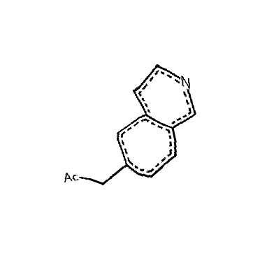 CC(=O)Cc1ccc2cnccc2c1